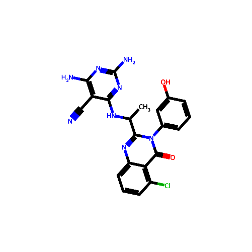 CC(Nc1nc(N)nc(N)c1C#N)c1nc2cccc(Cl)c2c(=O)n1-c1cccc(O)c1